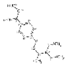 CCN(CC)C(C)OCc1ccc(C(=O)OC)cc1